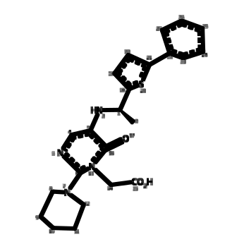 C[C@@H](Nc1cnc(N2CCCCC2)n(CC(=O)O)c1=O)c1ccc(-c2ccccc2)s1